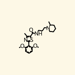 COc1cccc(OC)c1-c1nc(C)c(C(=O)NCCCN2CCCCC2C)s1